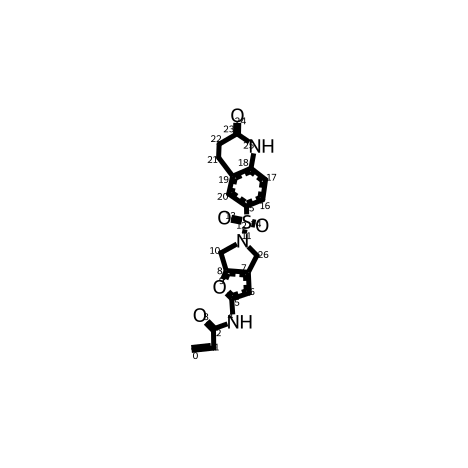 C=CC(=O)Nc1cc2c(o1)CN(S(=O)(=O)c1ccc3c(c1)CCC(=O)N3)C2